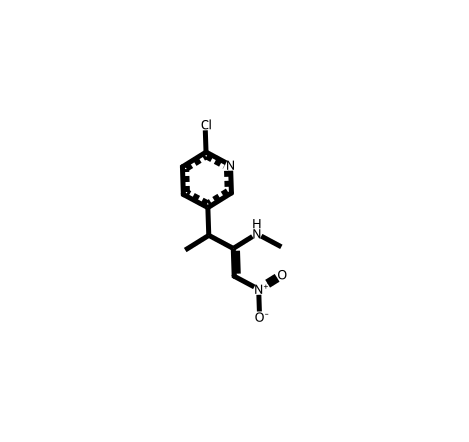 CN/C(=C\[N+](=O)[O-])C(C)c1ccc(Cl)nc1